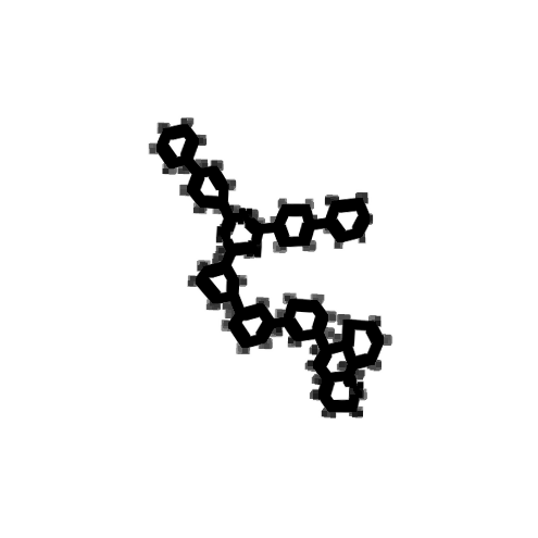 c1ccc(-c2ccc(-c3nc(-c4ccc(-c5ccccc5)cc4)nc(-c4cccc(-c5cccc(-c6cccc(-c7cc8cccnc8c8ccccc78)c6)c5)c4)n3)cc2)cc1